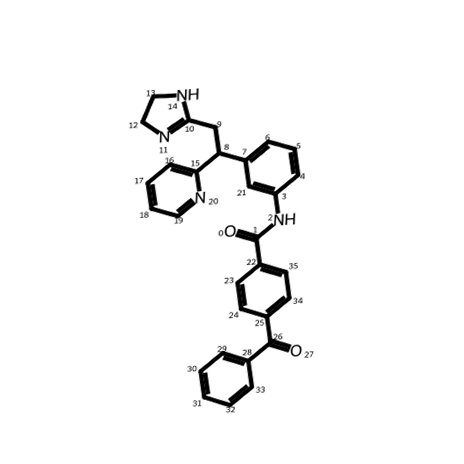 O=C(Nc1cccc(C(CC2=NCCN2)c2ccccn2)c1)c1ccc(C(=O)c2ccccc2)cc1